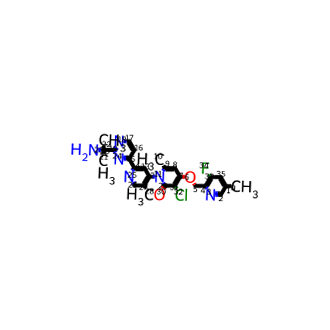 Cc1cnc(COc2cc(C)n(-c3cc(-c4ccnc(C(C)(C)N)n4)ncc3C)c(=O)c2Cl)c(F)c1